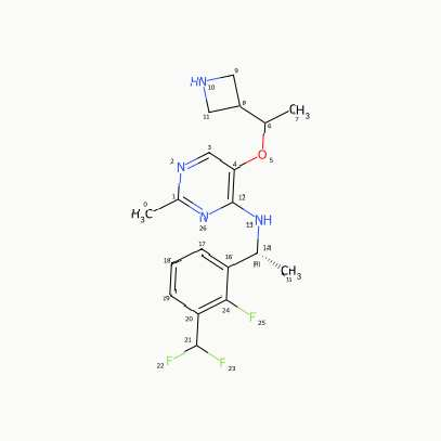 Cc1ncc(OC(C)C2CNC2)c(N[C@H](C)c2cccc(C(F)F)c2F)n1